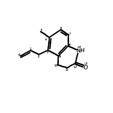 C=CCc1c(C)ccc2c1CCC(=O)N2